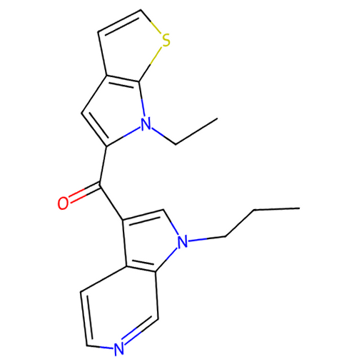 CCCn1cc(C(=O)c2cc3ccsc3n2CC)c2ccncc21